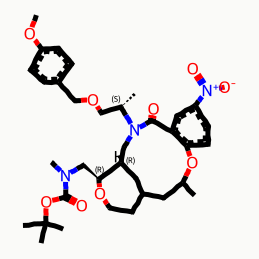 COc1ccc(COC[C@H](C)N2C[C@H]3CC(CCO[C@H]3CN(C)C(=O)OC(C)(C)C)CC(C)Oc3ccc([N+](=O)[O-])cc3C2=O)cc1